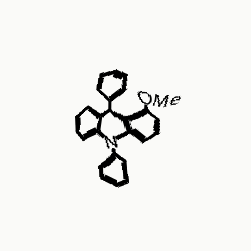 COc1cccc2c1C(c1ccccc1)c1ccccc1N2c1ccccc1